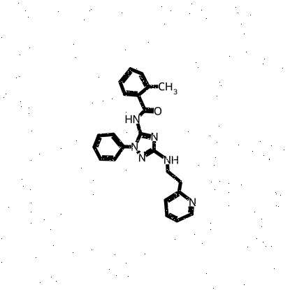 Cc1ccccc1C(=O)Nc1nc(NCCc2ccccn2)nn1-c1ccccc1